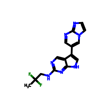 CC(F)(F)CNc1ncc2c(-c3cnc4nccn4c3)c[nH]c2n1